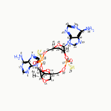 Nc1ncnc2c1ncn2[C@@H]1O[C@@]23CO[C@@H]1[C@@H]2O[P@@](=O)(S)OC[C@@H]1C[C@@H](O[P@@](=O)(S)OC3)[C@H](n2cnc3c(N)ncnc32)O1